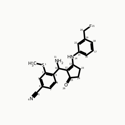 CSc1cc(C#N)ccc1C(N)C1=C(Nc2cccc(CF)c2)CCC1=O